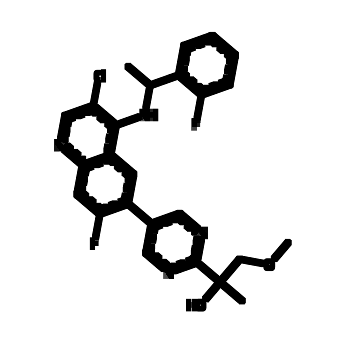 COCC(C)(O)c1ncc(-c2cc3c(NC(C)c4ccccc4F)c(Cl)cnc3cc2F)cn1